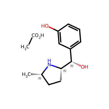 CC(=O)O.C[C@H]1CC[C@@H]([C@@H](O)c2cccc(O)c2)N1